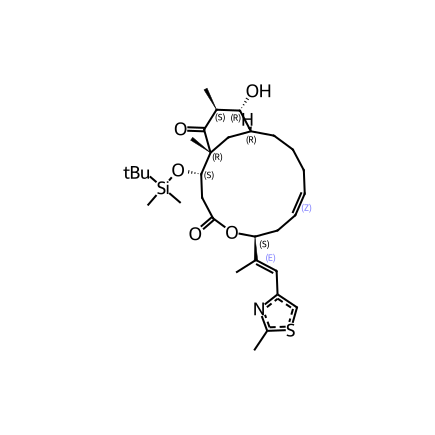 C/C(=C\c1csc(C)n1)[C@@H]1C/C=C\CCC[C@@H]2C[C@@](C)(C(=O)[C@@H](C)[C@@H]2O)[C@@H](O[Si](C)(C)C(C)(C)C)CC(=O)O1